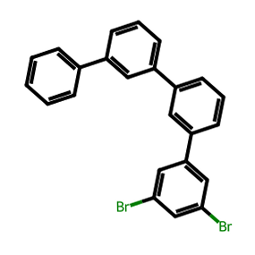 Brc1cc(Br)cc(-c2cccc(-c3cccc(-c4ccccc4)c3)c2)c1